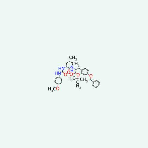 COc1ccc(NC(=O)N[C@@H](CC(C)C)C(=O)N[C@@H](Cc2ccc(OCc3ccccc3)cc2)C(=O)OC(C)(C)C)cc1